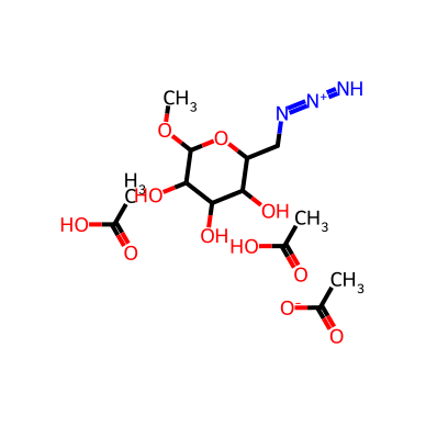 CC(=O)O.CC(=O)O.CC(=O)[O-].COC1OC(CN=[N+]=N)C(O)C(O)C1O